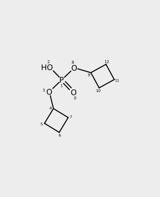 O=P(O)(OC1CCC1)OC1CCC1